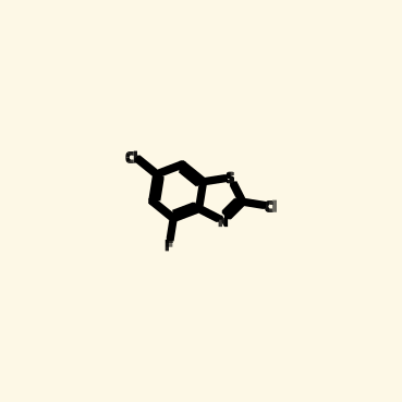 Fc1cc(Cl)cc2sc(Cl)nc12